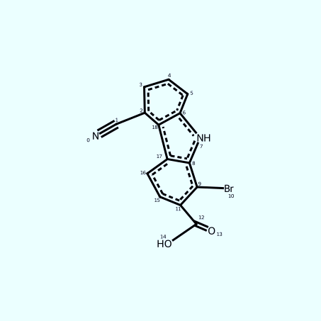 N#Cc1cccc2[nH]c3c(Br)c(C(=O)O)ccc3c12